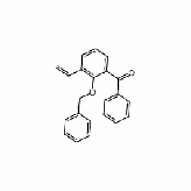 C=Cc1cccc(C(=O)c2ccccc2)c1OCc1ccccc1